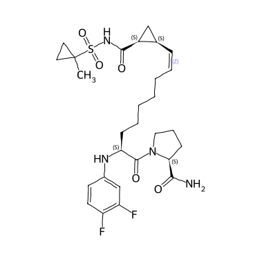 CC1(S(=O)(=O)NC(=O)[C@H]2C[C@H]2/C=C\CCCCC[C@H](Nc2ccc(F)c(F)c2)C(=O)N2CCC[C@H]2C(N)=O)CC1